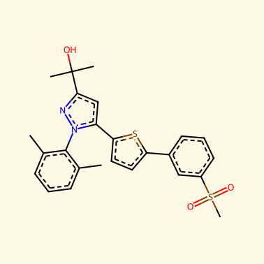 Cc1cccc(C)c1-n1nc(C(C)(C)O)cc1-c1ccc(-c2cccc(S(C)(=O)=O)c2)s1